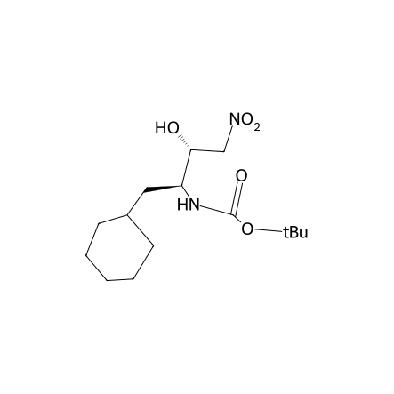 CC(C)(C)OC(=O)N[C@@H](CC1CCCCC1)[C@H](O)C[N+](=O)[O-]